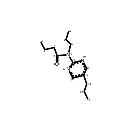 CCCC(=O)N(CCC)c1ncc(CCC)cn1